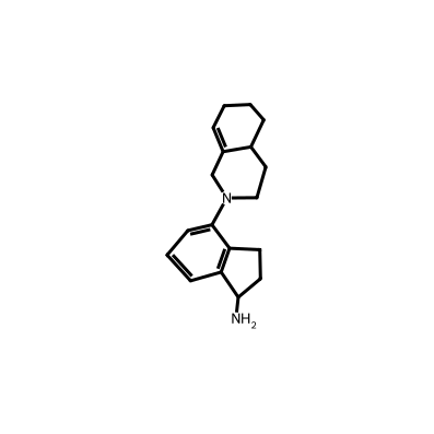 NC1CCc2c1cccc2N1CCC2CCCC=C2C1